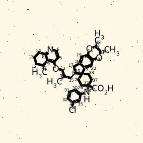 C[C@@H](COc1ccnc2c1[C@H](C)CCC2)C[C@H]1Cc2cc3c(cc2C12CCC(Nc1cccc(Cl)c1)(C(=O)O)CC2)O[C@@H](C)[C@H](C)O3